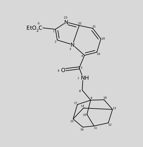 CCOC(=O)c1cn2c(C(=O)NCC34CC5CC(CC(C5)C3)C4)cccc2n1